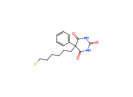 O=C1NC(=O)C(CCCCCCF)(c2ccccc2)C(=O)N1